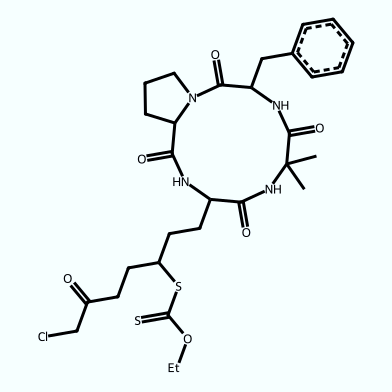 CCOC(=S)SC(CCC(=O)CCl)CCC1NC(=O)C2CCCN2C(=O)C(Cc2ccccc2)NC(=O)C(C)(C)NC1=O